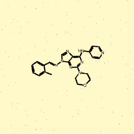 Cc1ccccc1C=Nn1cnc2c(Nc3ccncc3)nc(N3CCOCC3)nc21